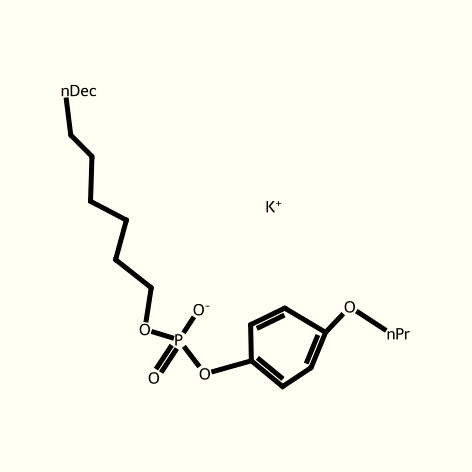 CCCCCCCCCCCCCCCCOP(=O)([O-])Oc1ccc(OCCC)cc1.[K+]